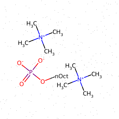 CCCCCCCCOP(=O)([O-])[O-].C[N+](C)(C)C.C[N+](C)(C)C